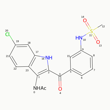 CC(=O)Nc1c(C(=O)c2cccc(NS(C)(=O)=O)c2)[nH]c2cc(Cl)ccc12